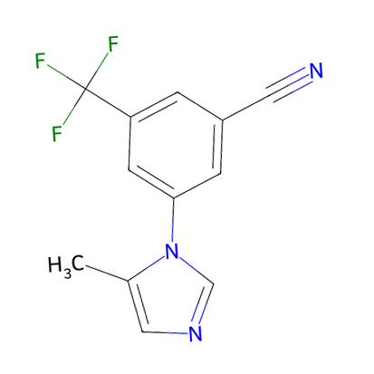 Cc1cncn1-c1cc(C#N)cc(C(F)(F)F)c1